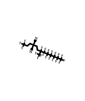 N#CC(C#N)(CCC(F)(F)F)CCC(F)(C(F)(F)F)C(F)(F)C(F)(F)C(F)(F)C(F)(F)C(F)(F)C(F)(F)F